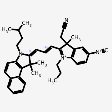 [C-]#[N+]c1ccc2c(c1)C(C)(CC#N)C(/C=C/C=C1/N(CCC(C)C)c3ccc4ccccc4c3C1(C)C)=[N+]2CCC